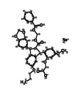 CCCOc1ccc2c(c1)C(c1ccc(OC)cc1OCC(=O)[O-])C(C(=O)OCOC(=O)c1ccccc1)C2c1ccc2c(c1)OCO2.[Na+]